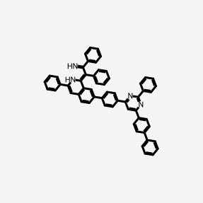 N=C(/C(=C1\NC(c2ccccc2)=Cc2ccc(-c3ccc(-c4cc(-c5ccc(-c6ccccc6)cc5)nc(-c5ccccc5)n4)cc3)cc21)c1ccccc1)c1ccccc1